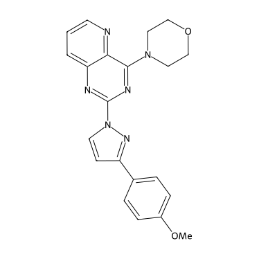 COc1ccc(-c2ccn(-c3nc(N4CCOCC4)c4ncccc4n3)n2)cc1